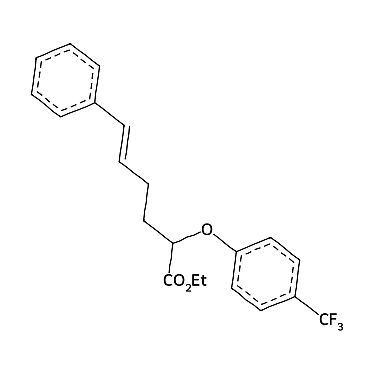 CCOC(=O)C(CCC=Cc1ccccc1)Oc1ccc(C(F)(F)F)cc1